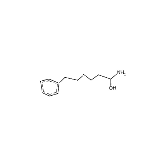 NC(O)CCCCCc1ccccc1